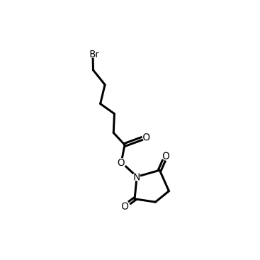 O=C(CCCCCBr)ON1C(=O)CCC1=O